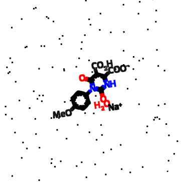 COc1ccc(-n2c(=O)[nH]c(C(=O)[O-])c(C(=O)O)c2=O)cc1.O.[Na+]